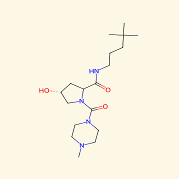 CN1CCN(C(=O)N2C[C@H](O)CC2C(=O)NCCCC(C)(C)C)CC1